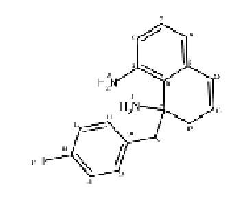 Nc1cccc2c1C(N)(Cc1ccc(I)cc1)CC=C2